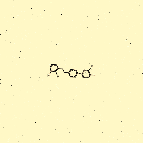 Cc1ccc(-c2ccc(CCc3cccc(F)c3F)cc2)cc1F